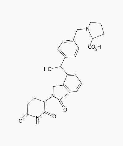 O=C1CCC(N2Cc3c(cccc3C(O)c3ccc(CN4CCCC4C(=O)O)cc3)C2=O)C(=O)N1